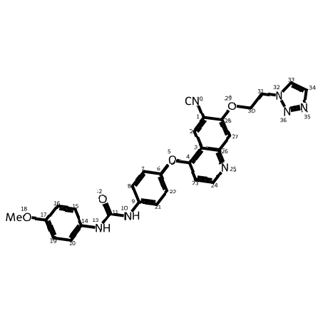 [C-]#[N+]c1cc2c(Oc3ccc(NC(=O)Nc4ccc(OC)cc4)cc3)ccnc2cc1OCCn1ccnn1